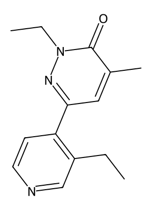 CCc1cnccc1-c1cc(C)c(=O)n(CC)n1